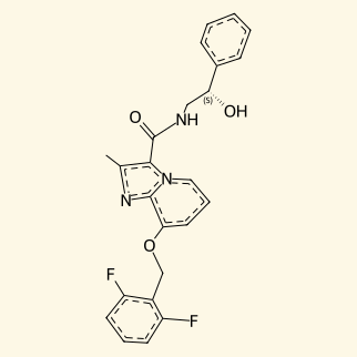 Cc1nc2c(OCc3c(F)cccc3F)cccn2c1C(=O)NC[C@@H](O)c1ccccc1